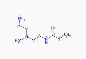 C=CC(=O)NCCN(C)CCN